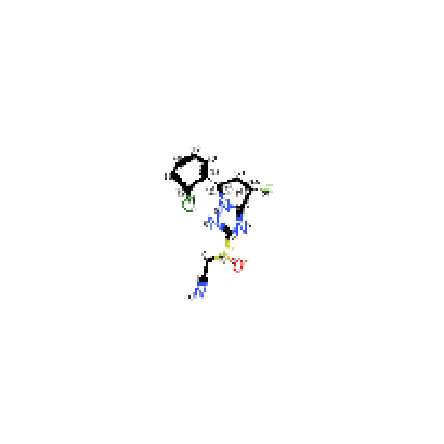 N#CC[S@+]([O-])c1nc2n(n1)[C@H](c1ccccc1Cl)C[C@@H]2F